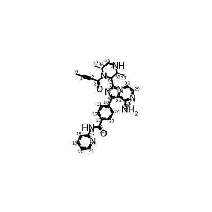 CC#CC(=O)N1C(c2nc(-c3ccc(C(=O)Nc4ccccn4)cc3)c3c(N)nccn23)[C@H](C)NC[C@@H]1C